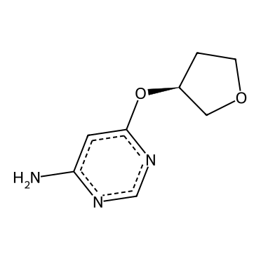 Nc1cc(O[C@H]2CCOC2)ncn1